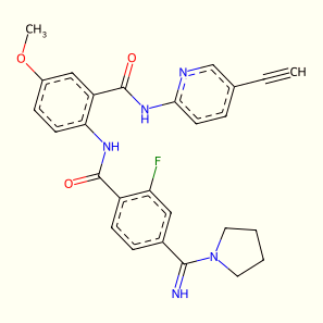 C#Cc1ccc(NC(=O)c2cc(OC)ccc2NC(=O)c2ccc(C(=N)N3CCCC3)cc2F)nc1